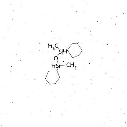 C[SiH](O[SiH](C)C1CCCCC1)C1CCCCC1